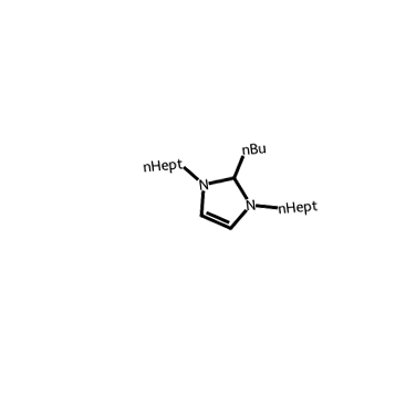 CCCCCCCN1C=CN(CCCCCCC)C1CCCC